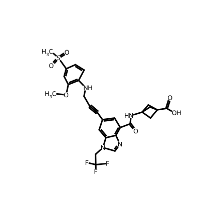 COc1cc(S(C)(=O)=O)ccc1NCC#Cc1cc(C(=O)NC23CC(C(=O)O)(C2)C3)c2ncn(CC(F)(F)F)c2c1